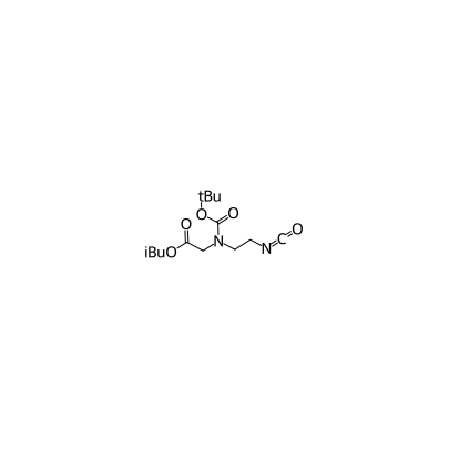 CC(C)COC(=O)CN(CCN=C=O)C(=O)OC(C)(C)C